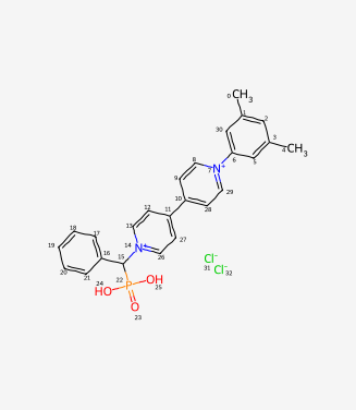 Cc1cc(C)cc(-[n+]2ccc(-c3cc[n+](C(c4ccccc4)P(=O)(O)O)cc3)cc2)c1.[Cl-].[Cl-]